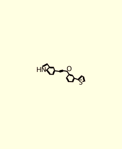 O=C(C#Cc1ccc2[nH]ccc2c1)c1cccc(-c2cccs2)c1